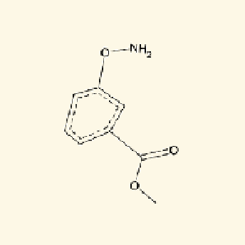 COC(=O)c1cccc(ON)c1